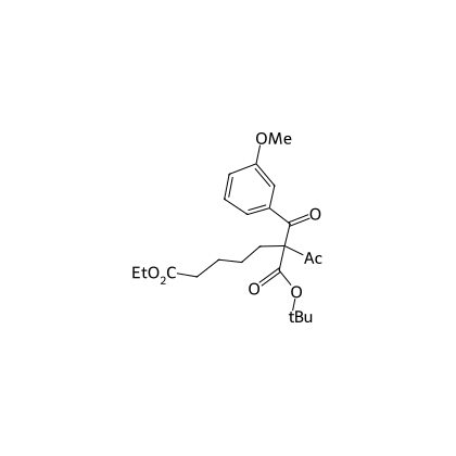 CCOC(=O)CCCCC(C(C)=O)(C(=O)OC(C)(C)C)C(=O)c1cccc(OC)c1